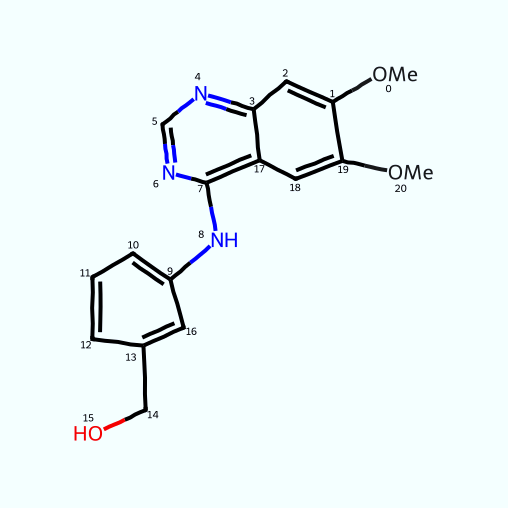 COc1cc2ncnc(Nc3cccc(CO)c3)c2cc1OC